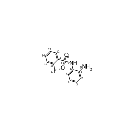 Nc1ccccc1NS(=O)(=O)c1ccccc1F